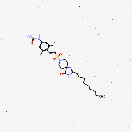 Cc1cc(N(C)C(N)=O)cc(C)c1C=CS(=O)(=O)N1CCC2(CC1)N=C(CCCCCCCCC=O)NC2=O